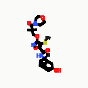 CC(C)Sc1c(OCC(C)(C)C(=O)N2CCOCC2)noc1C(=O)N[C@H]1C2CC3CC1C[C@](O)(C3)C2